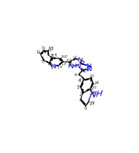 C1=Cc2cc(Cc3nnc4ncc(-c5cnc6ccccc6c5)nn34)ccc2NC1